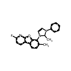 Cc1ccc2c(oc3nc(F)ccc32)c1N1C=CN(c2ccccc2)C1C